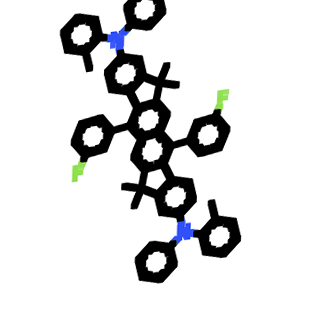 Cc1ccccc1N(c1ccccc1)c1ccc2c(c1)C(C)(C)c1cc3c(-c4cccc(F)c4)c4c(cc3c(-c3cccc(F)c3)c1-2)C(C)(C)c1cc(N(c2ccccc2)c2ccccc2C)ccc1-4